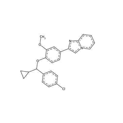 COc1cc(-c2cn3ccccc3n2)ccc1OC(c1ccc(Cl)cc1)C1CC1